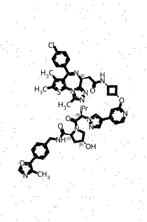 Cc1ncoc1-c1ccc(CNC(=O)[C@@H]2C[C@@H](O)CN2C(=O)[C@@H](C(C)C)n2cc(-c3ccnc(O[C@H]4C[C@@H](NC(=O)C[C@@H]5N=C(c6ccc(Cl)cc6)c6c(sc(C)c6C)-n6c(C)nnc65)C4)c3)cn2)cc1